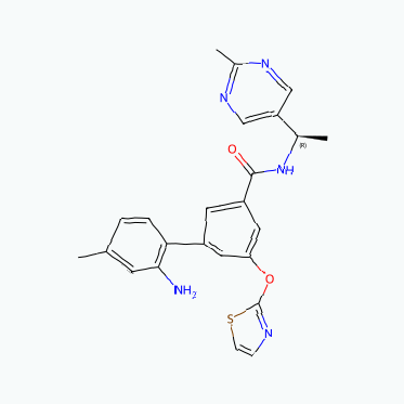 Cc1ccc(-c2cc(Oc3nccs3)cc(C(=O)N[C@H](C)c3cnc(C)nc3)c2)c(N)c1